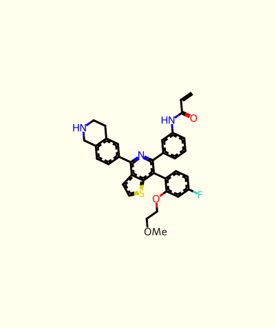 C=CC(=O)Nc1cccc(-c2nc(-c3ccc4c(c3)CCNC4)c3ccsc3c2-c2ccc(F)cc2OCCOC)c1